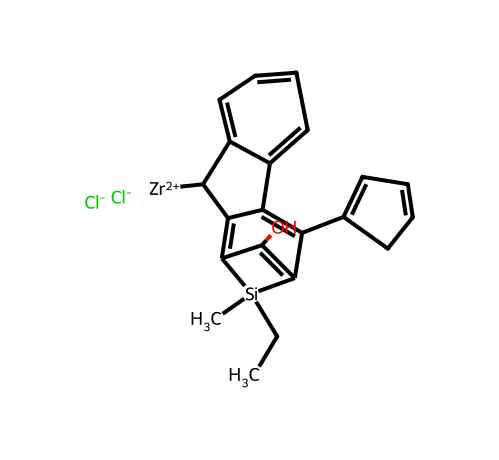 CC[Si]1(C)c2c(O)c1c1c(c2C2=CC=CC2)-c2ccccc2[CH]1[Zr+2].[Cl-].[Cl-]